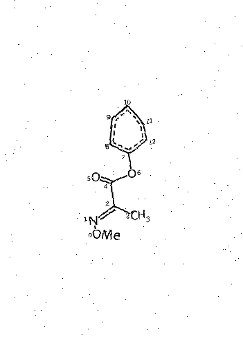 CO/N=C(\C)C(=O)Oc1ccccc1